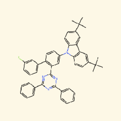 CC(C)(C)c1ccc2c(c1)c1cc(C(C)(C)C)ccc1n2-c1ccc(-c2cccc(F)c2)c(-c2nc(-c3ccccc3)nc(-c3ccccc3)n2)c1